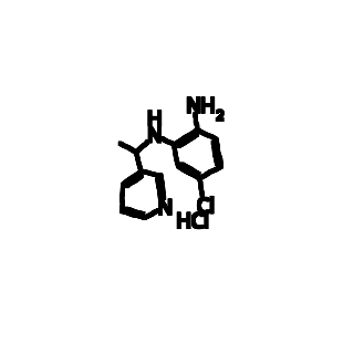 CC(Nc1cc(Cl)ccc1N)c1cccnc1.Cl